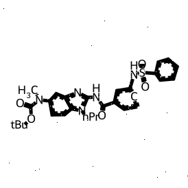 CCCn1c(NC(=O)c2cccc(NS(=O)(=O)c3ccccc3)c2)nc2cc(N(C)C(=O)OC(C)(C)C)ccc21